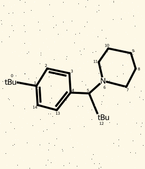 CC(C)(C)c1ccc(C(N2CCCCC2)C(C)(C)C)cc1